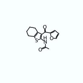 CC(=O)Nc1sc2c(c1C(=O)c1ccco1)CCCC2